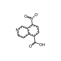 O=C(O)c1ccc([N+](=O)[O-])c2cnccc12